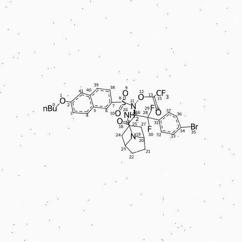 CCCCOc1ccc2cc(S(=O)(=O)N(OC(=O)C(F)(F)F)[C@H](C(=O)N3C4CCC3CC(N)C4)C(F)(F)c3ccc(Br)cc3)ccc2c1